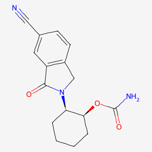 N#Cc1ccc2c(c1)C(=O)N([C@@H]1CCCC[C@@H]1OC(N)=O)C2